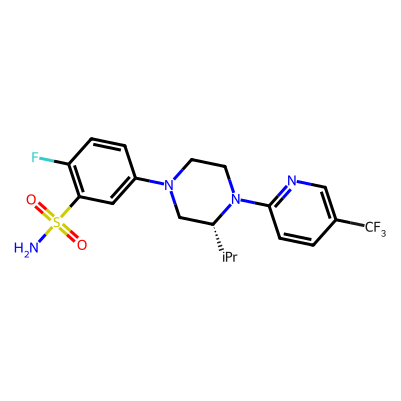 CC(C)[C@@H]1CN(c2ccc(F)c(S(N)(=O)=O)c2)CCN1c1ccc(C(F)(F)F)cn1